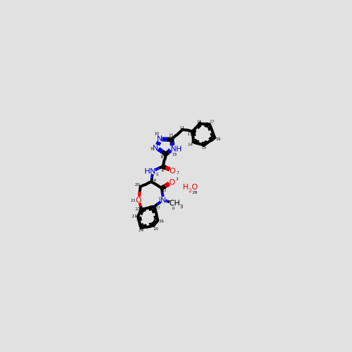 CN1C(=O)C(NC(=O)c2nnc(Cc3ccccc3)[nH]2)COc2ccccc21.O